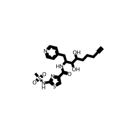 C#CCCCC(O)C(O)C(Cc1ccncc1)NC(=O)c1csc(NS(C)(=O)=O)n1